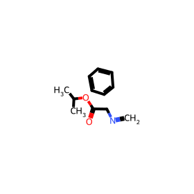 C=NCC(=O)OC(C)C.c1ccccc1